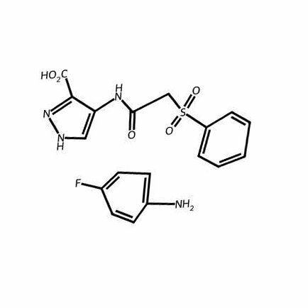 Nc1ccc(F)cc1.O=C(CS(=O)(=O)c1ccccc1)Nc1c[nH]nc1C(=O)O